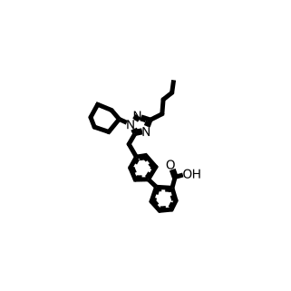 CCCCc1nc(Cc2ccc(-c3ccccc3C(=O)O)cc2)n(C2CCCCC2)n1